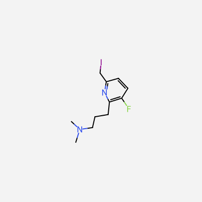 CN(C)CCCc1nc(CI)ccc1F